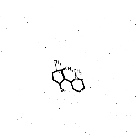 CC1=C(C2CCCCN2C)C(C(C)C)CC[C@H]1C